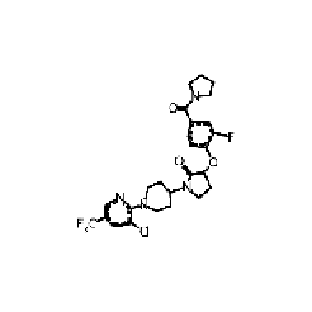 O=C(c1ccc(OC2CCN(C3CCN(c4ncc(C(F)(F)F)cc4Cl)CC3)C2=O)c(F)c1)N1CCCC1